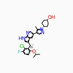 Cc1c(-c2cnc3[nH]cc([C@H](C)c4c(OC(C)C)ccc(F)c4Cl)c3c2)cnn1[C@H]1CC[C@H](O)CC1